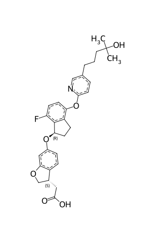 CC(C)(O)CCCc1ccc(Oc2ccc(F)c3c2CC[C@H]3Oc2ccc3c(c2)OC[C@H]3CC(=O)O)nc1